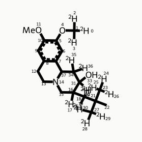 [2H]C([2H])([2H])Oc1cc2c(cc1OC)CCN1CC([2H])(C([2H])([2H])C(C)(C([2H])([2H])[2H])C([2H])([2H])[2H])C([2H])(O)C([2H])([2H])C21